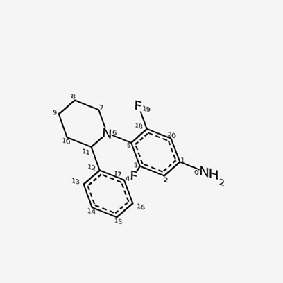 Nc1cc(F)c(N2CCCCC2c2ccccc2)c(F)c1